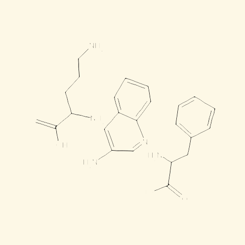 NC(Cc1ccccc1)C(=O)O.NCCCC(N)C(=O)O.Nc1cnc2ccccc2c1